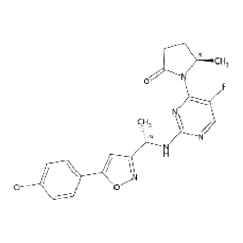 C[C@H](Nc1ncc(F)c(N2C(=O)CC[C@H]2C)n1)c1cc(-c2ccc(Cl)cc2)on1